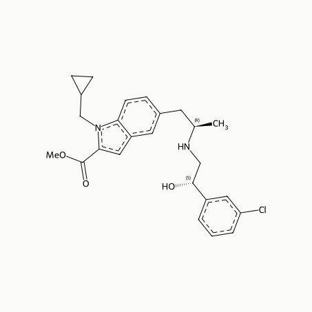 COC(=O)c1cc2cc(C[C@@H](C)NC[C@@H](O)c3cccc(Cl)c3)ccc2n1CC1CC1